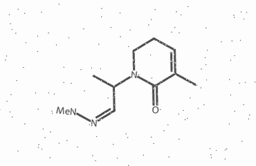 CN/N=C\C(C)N1CCC=C(C)C1=O